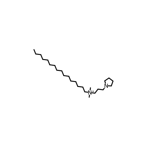 CCCCCCCCCCCCCCCC[N+](C)(C)CCCN1CCCC1